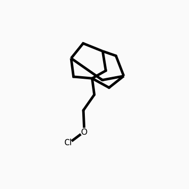 ClOCCC12CC3CC(CC(C3)C1)C2